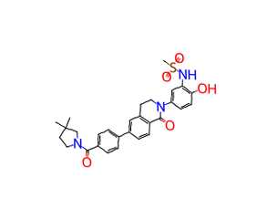 CC1(C)CCN(C(=O)c2ccc(-c3ccc4c(c3)CCN(c3ccc(O)c(NS(C)(=O)=O)c3)C4=O)cc2)C1